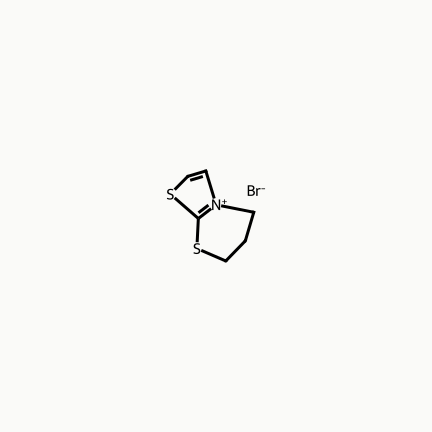 [Br-].c1c[n+]2c(s1)SCCC2